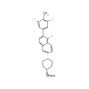 CCCCC[C@H]1CC[C@H](c2ccc3c(F)c(-c4cc(F)c(C(F)(F)F)c(F)c4)ccc3c2)CC1